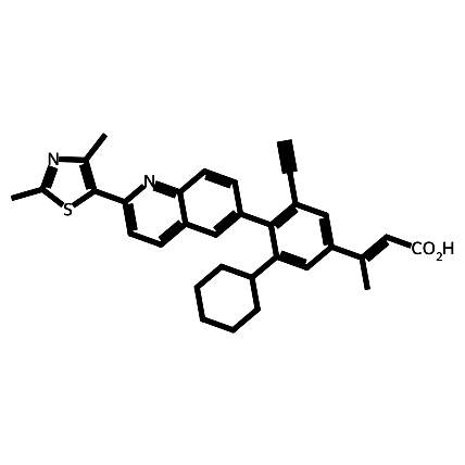 C#Cc1cc(C(C)=CC(=O)O)cc(C2CCCCC2)c1-c1ccc2nc(-c3sc(C)nc3C)ccc2c1